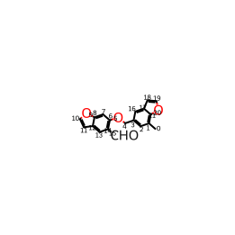 Cc1cc(COc2cc3occc3cc2C=O)cc2ccoc12